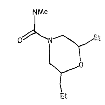 CCC1CN(C(=O)NC)CC(CC)O1